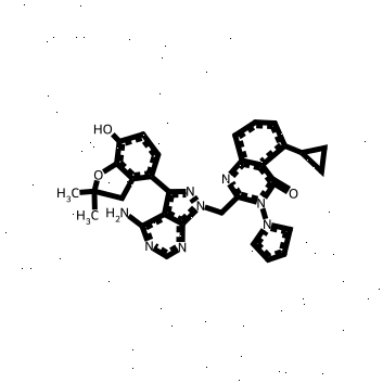 CC1(C)Cc2c(-c3nn(Cc4nc5cccc(C6CC6)c5c(=O)n4-n4cccc4)c4ncnc(N)c34)ccc(O)c2O1